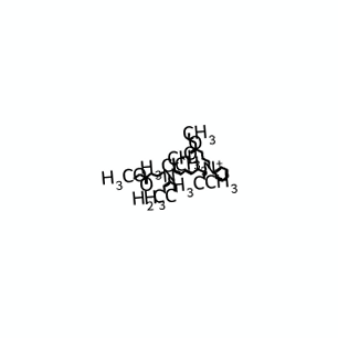 C=C/C=C(\C=C/C)N(CCCC(=O)OCC)/C(=C/C=CC/C(C(C)C)=[N+](\CCCC(=O)OCC)c1ccccc1)C(C)(C)C